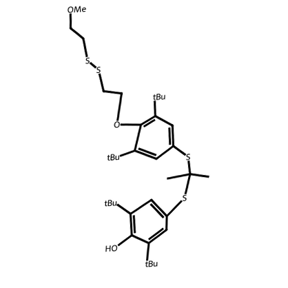 COCCSSCCOc1c(C(C)(C)C)cc(SC(C)(C)Sc2cc(C(C)(C)C)c(O)c(C(C)(C)C)c2)cc1C(C)(C)C